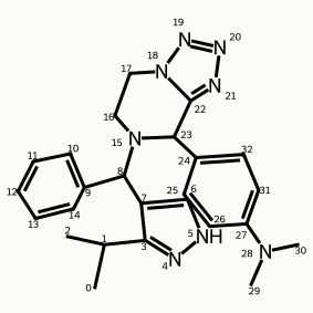 CC(C)c1n[nH]cc1C(c1ccccc1)N1CCn2nnnc2C1c1ccc(N(C)C)cc1